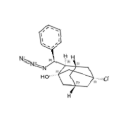 [N-]=[N+]=N[C@@H](c1ccccc1)[C@H]1[C@H]2C[C@@H]3C[C@](Cl)(C2)C[C@@]1(O)C3